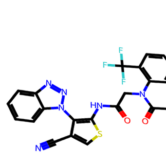 N#Cc1csc(NC(=O)Cn2c(=O)ccc3cccc(C(F)(F)F)c32)c1-n1nnc2ccccc21